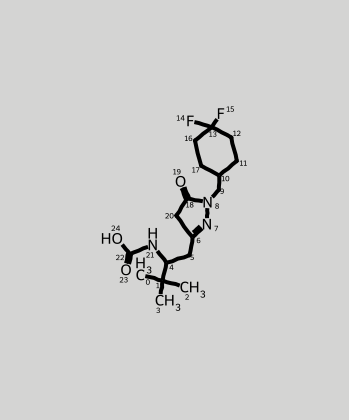 CC(C)(C)C(CC1=NN(CC2CCC(F)(F)CC2)C(=O)C1)NC(=O)O